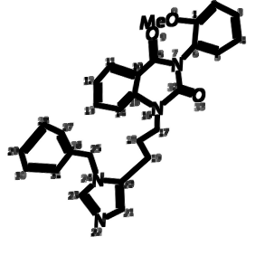 COc1ccccc1-n1c(=O)c2ccccc2n(CCCc2cncn2Cc2ccccc2)c1=O